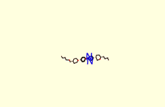 CCCCCC[C@H]1CC[C@H](c2ccc(-c3ncc([C@H]4CC[C@H](CCCC)CC4)cn3)cc2)CC1